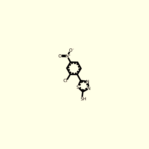 O=[N+]([O-])c1ccc(-c2nnc(S)s2)c(Cl)c1